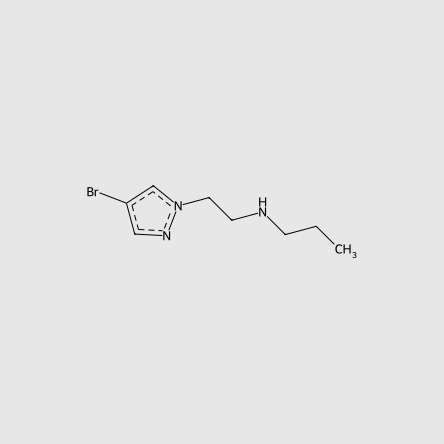 CCCNCCn1cc(Br)cn1